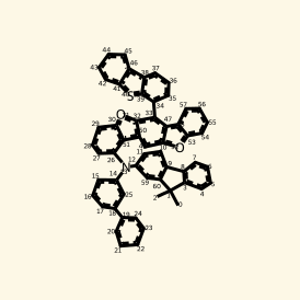 CC1(C)c2ccccc2-c2ccc(N(c3cccc(-c4ccccc4)c3)c3cccc4oc5c(-c6cccc7c6sc6ccccc67)c6c(cc5c34)oc3ccccc36)cc21